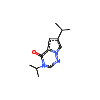 CC(C)c1cc2c(=O)n(C(C)C)cnn2c1